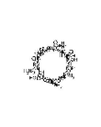 CCCC[C@H]1C(=O)N(C)[C@@H](CCCC)C(=O)NC2(Cc3ccccc3C2)C(=O)N[C@H](C(=O)NCC(N)=O)CSCC(=O)N[C@@H](Cc2ccc(O)cc2)C(=O)N(C)[C@@H](C)C(=O)N[C@@H](CC(N)=O)C(=O)N2CCC[C@H]2C(=O)N[C@@H](CN)C(=O)N[C@@H](CC(C)C)C(=O)N2C[C@H](O)C[C@H]2C(=O)NC(Cc2c[nH]c3ccccc23)C(=O)N[C@@H](CCN)C(=O)N[C@@H](Cc2c[nH]c3ccccc23)C(=O)N1C